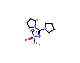 CP(C)(=O)N=C(N1CCCC1)N1CCCC1